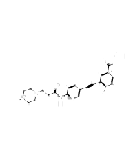 COC(=O)c1ccc(C)c(C#Cc2ccc(NC(=O)CCN3CCN(C)CC3)nc2)c1